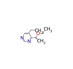 C=C(OCC)c1ncncc1CC